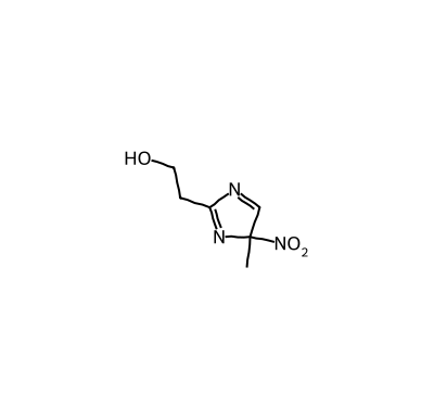 CC1([N+](=O)[O-])C=NC(CCO)=N1